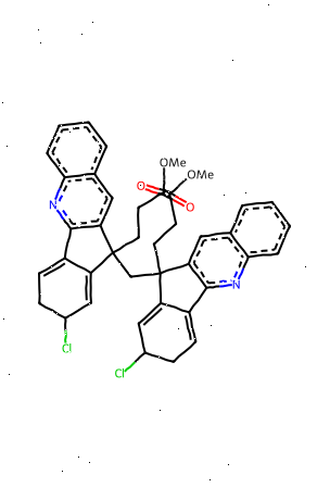 COC(=O)CCC1(CC2(CCC(=O)OC)C3=CC(Cl)CC=C3c3nc4ccccc4cc32)C2=CC(Cl)CC=C2c2nc3ccccc3cc21